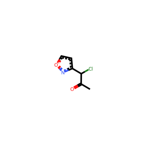 CC(=O)C(Cl)c1ccon1